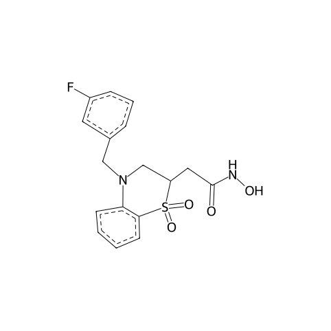 O=C(CC1CN(Cc2cccc(F)c2)c2ccccc2S1(=O)=O)NO